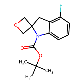 CC(C)(C)OC(=O)N1c2cccc(F)c2CC12COC2